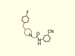 N#Cc1cccc(NC(=O)CN2CCC(Cc3ccc(F)cc3)CC2)c1